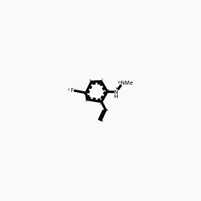 C=Cc1cc(F)ccc1NNC